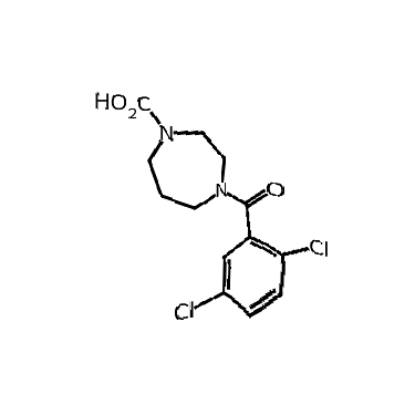 O=C(O)N1CCCN(C(=O)c2cc(Cl)ccc2Cl)CC1